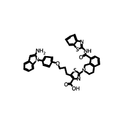 Nc1cc2ccccc2n1-c1ccc(OCCCc2sc(N3CCc4cccc(C(=O)Nc5nc6ccccc6s5)c4C3)nc2C(=O)O)cc1